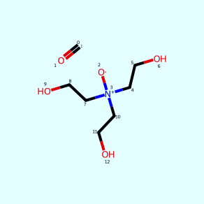 [C]=O.[O][N+](CCO)(CCO)CCO